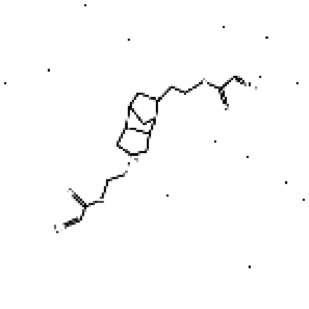 C=CC(=O)OCCC1CC2CC1C1C[C@H](CCOC(=O)C=C)CC21